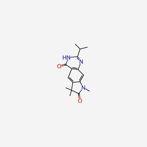 CC(C)c1nc2cc3c(cc2c(=O)[nH]1)C(C)(C)C(=O)N3C